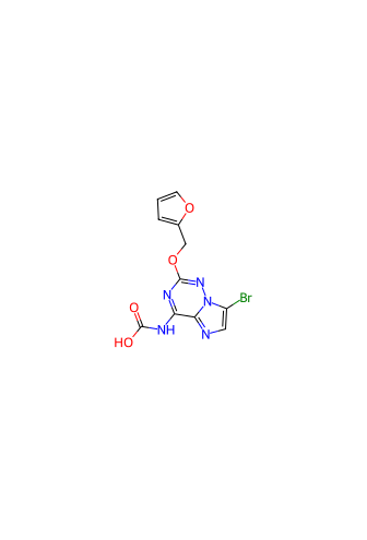 O=C(O)Nc1nc(OCc2ccco2)nn2c(Br)cnc12